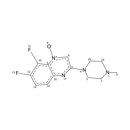 CN1CCN(c2c[n+]([O-])c3c(F)c(F)ccc3n2)CC1